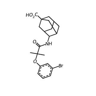 CC(C)(Oc1cccc(Br)c1)C(=O)NC1C2CC3CC1CC(C(=O)O)(C3)C2